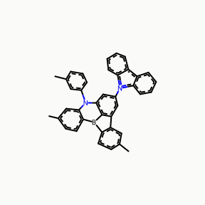 Cc1cccc(N2c3cc(C)ccc3B3c4ccc(C)cc4-c4cc(-n5c6ccccc6c6ccccc65)cc2c43)c1